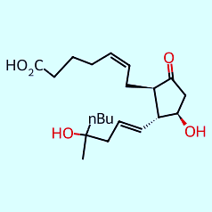 CCCCC(C)(O)C/C=C/[C@H]1[C@H](O)CC(=O)[C@@H]1C/C=C\CCCC(=O)O